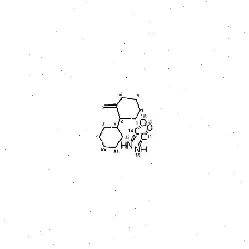 C=C1CCCCC1C1CCCCC1.N=C=O.N=C=O